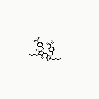 CCCCc1ncc(C=C2C(=O)N(CCCC)C(=O)N2Cc2ccc([N+](=O)[O-])cc2)n1Cc1ccc(C(=O)OC)cc1